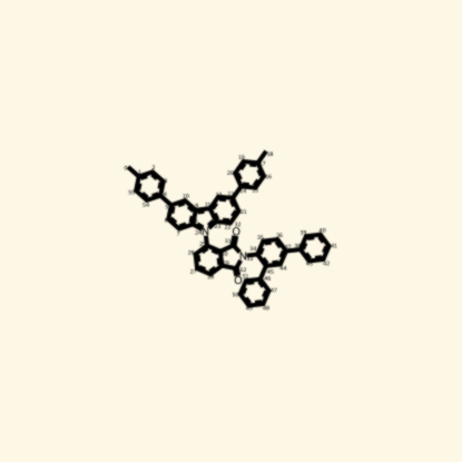 Cc1ccc(-c2ccc3c(c2)c2cc(-c4ccc(C)cc4)ccc2n3-c2cccc3c2C(=O)N(c2ccc(-c4ccccc4)cc2-c2ccccc2)C3=O)cc1